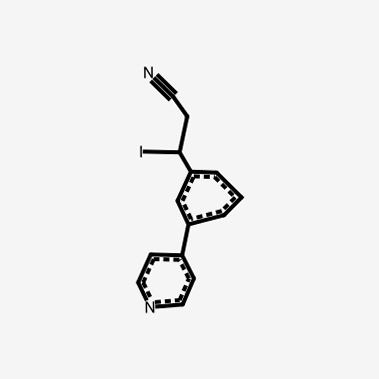 N#CCC(I)c1cccc(-c2ccncc2)c1